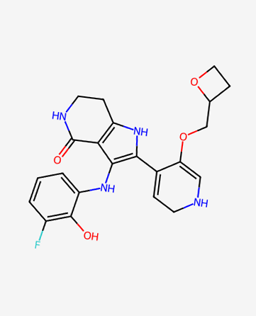 O=C1NCCc2[nH]c(C3=CCNC=C3OCC3CCO3)c(Nc3cccc(F)c3O)c21